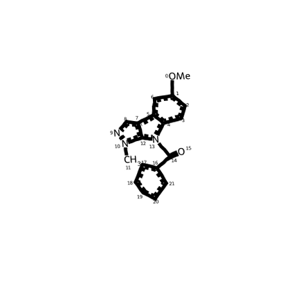 COc1ccc2c(c1)c1cnn(C)c1n2C(=O)c1ccccc1